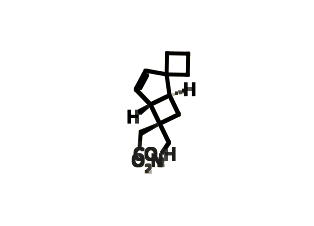 O=C(O)C[C@]1(C[N+](=O)[O-])C[C@H]2[C@H]1C=CC21CCC1